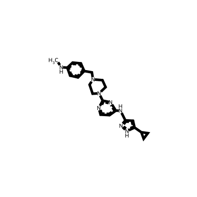 CNc1ccc(CN2CCN(c3nccc(Nc4cc(C5CC5)[nH]n4)n3)CC2)cc1